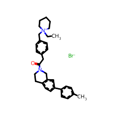 CC[N+]1(Cc2ccc(CC(=O)N3CCc4ccc(-c5ccc(C)cc5)cc4C3)cc2)CCCCC1.[Br-]